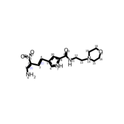 N/C=C(\C=C\c1c[nH]c(C(=O)NCCN2CCOCC2)c1)[N+](=O)[O-]